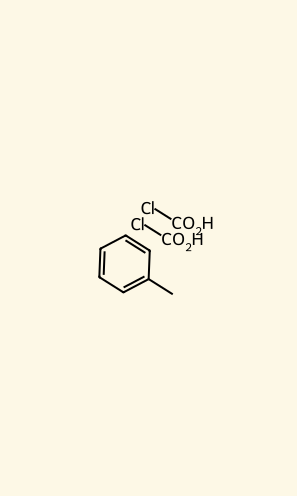 Cc1ccccc1.O=C(O)Cl.O=C(O)Cl